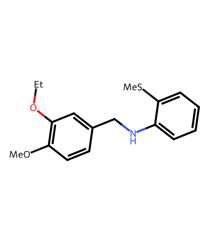 CCOc1cc(CNc2ccccc2SC)ccc1OC